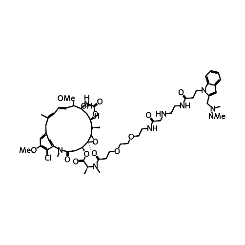 CNN(C)Cc1cc2ccccc2n1CCC(=O)NCCNCC(=O)NCCOCCOCCC(=O)N(C)[C@@H](C)C(=O)O[C@H]1CC(=O)N(C)c2cc(cc(OC)c2Cl)C/C(C)=C/C=C/[C@@H](OC)[C@@]2(O)C[C@H](OC(=O)N2)[C@@H](C)C2O[C@]21C